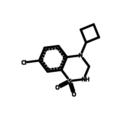 O=S1(=O)NCN(C2CCC2)c2ccc(Cl)cc21